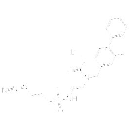 CC(C)(C)OC(=O)N(CCNS(=O)(=O)CCCN=[N+]=[N-])Cc1ccc(-c2ccccc2)c(Cl)c1